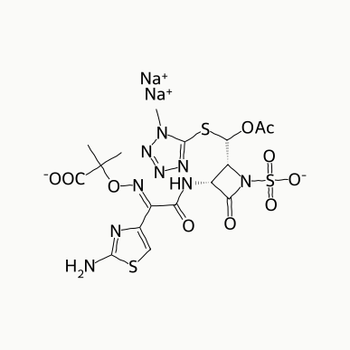 CC(=O)OC(Sc1nnnn1C)[C@H]1[C@@H](NC(=O)C(=NOC(C)(C)C(=O)[O-])c2csc(N)n2)C(=O)N1S(=O)(=O)[O-].[Na+].[Na+]